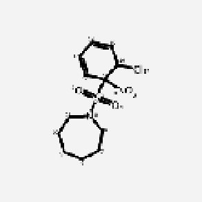 O=[N+]([O-])C1(S(=O)(=O)N2CCCCCC2)C=CC=CC1Cl